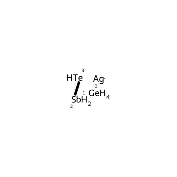 [Ag].[GeH4].[SbH2][TeH]